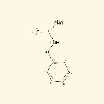 C[C@H](C=O)NCc1ccccc1